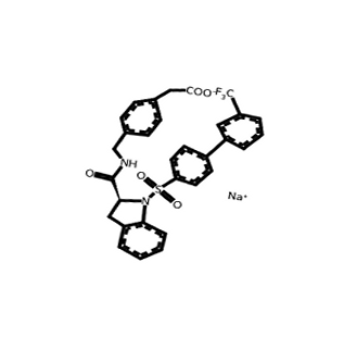 O=C([O-])Cc1ccc(CNC(=O)[C@@H]2Cc3ccccc3N2S(=O)(=O)c2ccc(-c3cccc(C(F)(F)F)c3)cc2)cc1.[Na+]